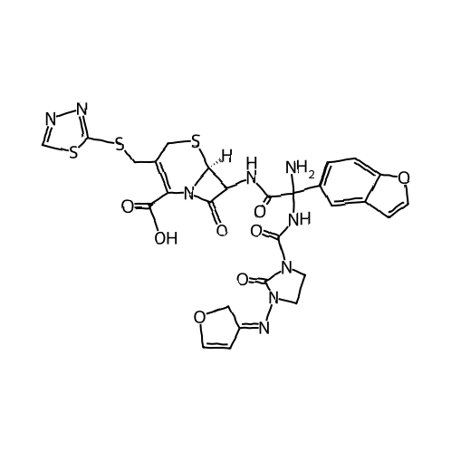 NC(NC(=O)N1CCN(N=C2C=COC2)C1=O)(C(=O)NC1C(=O)N2C(C(=O)O)=C(CSc3nncs3)CS[C@@H]12)c1ccc2occc2c1